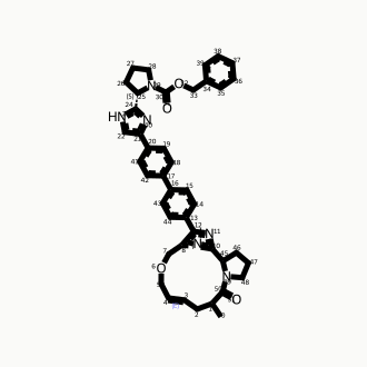 CC1C/C=C/COCc2[nH]c(nc2-c2ccc(-c3ccc(-c4c[nH]c([C@@H]5CCCN5C(=O)OCc5ccccc5)n4)cc3)cc2)C2CCCN2C1=O